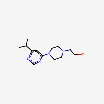 CC(C)c1cc(N2CCN(CCO)CC2)ncn1